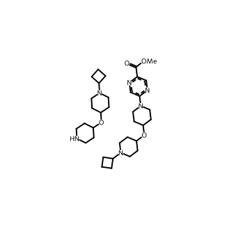 C1CC(N2CCC(OC3CCNCC3)CC2)C1.COC(=O)c1cnc(N2CCC(OC3CCN(C4CCC4)CC3)CC2)cn1